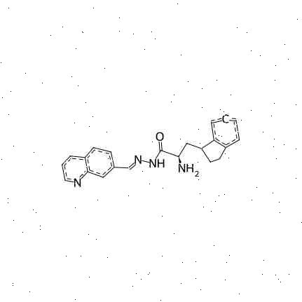 N[C@H](CC1CCc2ccccc21)C(=O)N/N=C/c1ccc2cccnc2c1